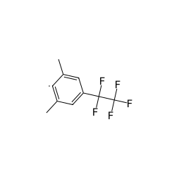 Cc1[c]c(C)cc(C(F)(F)C(F)(F)F)c1